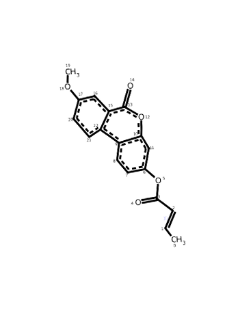 C/C=C/C(=O)Oc1ccc2c(c1)oc(=O)c1cc(OC)ccc12